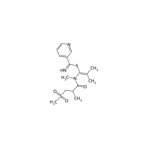 CC(C)=C(SC(=N)c1cccnc1)N(C)C(=O)C(C)CS(C)(=O)=O